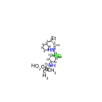 CCC(=Cc1ccccc1)C1C[C@@H]1NCC1CCC(NCC(C)(C)C(=O)O)CC1.Cl.Cl